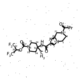 CC(C)C(=O)N1CCn2cc(C(=O)NC3(C)CCN(C(=O)OC(C(F)(F)F)C(F)(F)F)CC3)nc2C1